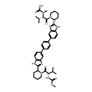 COC(=O)N[C@H](C(=O)N1CCCCC1c1nc2cc(-c3ccc(-c4ccc5[nH]c([C@@H]6CCCCN6C(=O)[C@H](C(C)C)N(C)C(=O)O)nc5c4)cc3)ccc2[nH]1)C(C)C